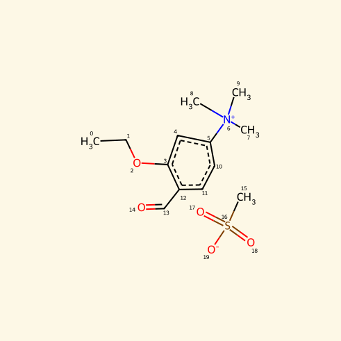 CCOc1cc([N+](C)(C)C)ccc1C=O.CS(=O)(=O)[O-]